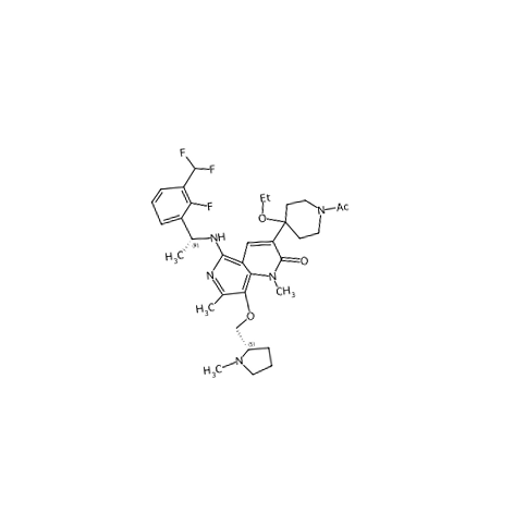 CCOC1(c2cc3c(N[C@H](C)c4cccc(C(F)F)c4F)nc(C)c(OC[C@@H]4CCCN4C)c3n(C)c2=O)CCN(C(C)=O)CC1